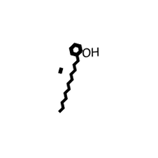 C=C.CCCCCCCCCCCCc1ccccc1O